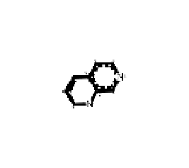 C1=Cc2ccncc2[N]C1